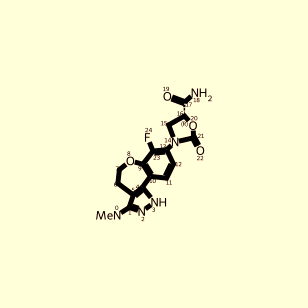 CNc1n[nH]c2c1CCOc1c-2ccc(N2C[C@H](C(N)=O)OC2=O)c1F